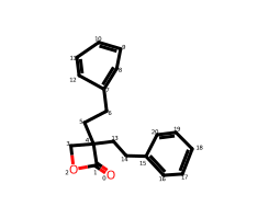 O=C1OCC1(CCc1ccccc1)CCc1ccccc1